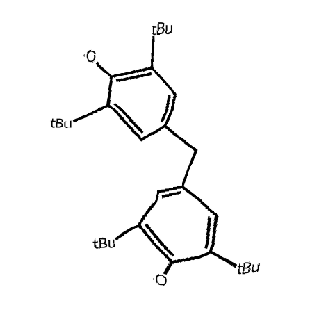 CC(C)(C)c1cc(Cc2cc(C(C)(C)C)c([O])c(C(C)(C)C)c2)cc(C(C)(C)C)c1[O]